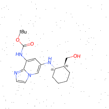 CC(C)(C)OC(=O)Nc1cc(N[C@H]2CCCC[C@@H]2CO)cn2ccnc12